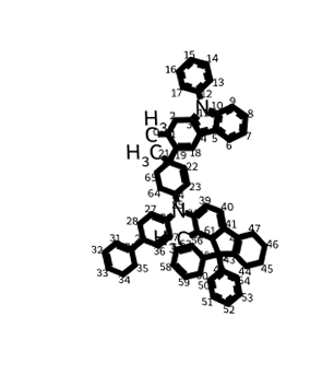 CC1Cc2c(c3ccccc3n2-c2ccccc2)C=C1C1(C)C=CC(N(C2=CCC(C3=CC=CCC3)C=C2)C2=CC=C3C4=C(CCCC4)C(c4ccccc4)(C4C=CC=CC4)C3C2C)CC1